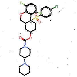 O=C(O[C@@H]1CC[C@@]2(S(=O)(=O)c3ccc(Cl)cc3)c3c(F)ccc(F)c3OCC2C1)N1CCC(N2CCCCC2)CC1